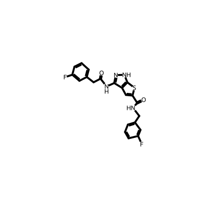 O=C(Cc1cccc(F)c1)Nc1n[nH]c2sc(C(=O)NCc3cccc(F)c3)cc12